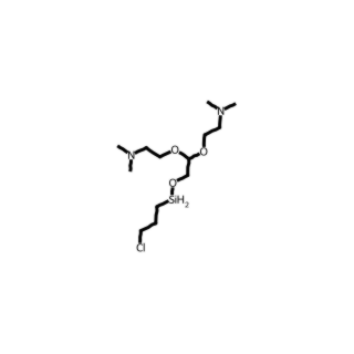 CN(C)CCOC(CO[SiH2]CCCCl)OCCN(C)C